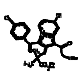 CCOC(=O)C(C)(C)Cc1c(C(=O)CC(C)(C)C)c2cc(O)ccn2c1C(=O)c1ccc(Cl)cc1